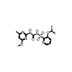 COc1cc(C)nc(NC(=O)NS(=O)(=O)c2ncccc2OC(F)F)n1